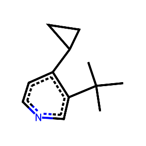 CC(C)(C)c1cnccc1C1CC1